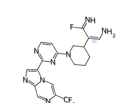 N=C(F)/C(=C\N)C1CCCN(c2ccnc(-c3cnc4cnc(C(F)(F)F)cn34)n2)C1